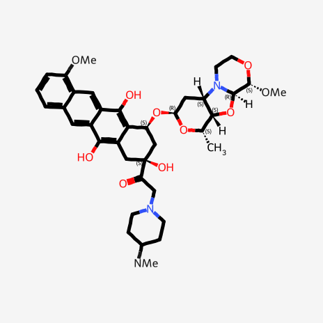 CNC1CCN(CC(=O)[C@]2(O)Cc3c(c(O)c4cc5c(OC)cccc5cc4c3O)[C@@H](O[C@H]3C[C@H]4[C@H](O[C@@H]5[C@@H](OC)OCCN54)[C@H](C)O3)C2)CC1